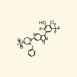 Cn1nc(-c2cc(C(F)(F)F)c(Cl)c(O)c2F)c2cnc(N3CCN(S(C)(=O)=O)C[C@H]3Cc3ccccc3)cc21